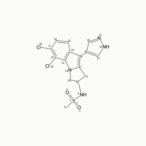 CS(=O)(=O)NC1Cc2c(-c3cn[nH]c3)c3ccc(Cl)c(Cl)c3n2C1